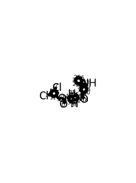 O=C(OCc1cc(Cl)cc(Cl)c1)N1C[C@@H]2CN(C(=O)c3ccc4[nH]c5ccccc5c4c3)C[C@@H]2C1